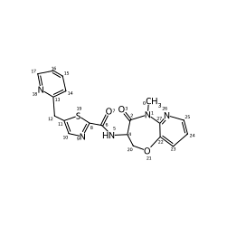 CN1C(=O)C(NC(=O)c2ncc(Cc3ccccn3)s2)COc2cccnc21